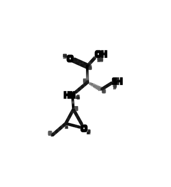 CC1OC1N[C@@H](CS)C(=O)O